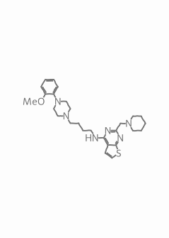 COc1ccccc1N1CCN(CCCCNc2nc(CN3CCCCC3)nc3sccc23)CC1